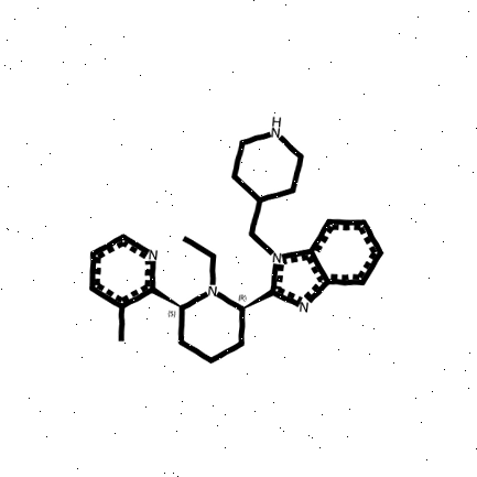 CCN1[C@@H](c2nc3ccccc3n2CC2CCNCC2)CCC[C@H]1c1ncccc1C